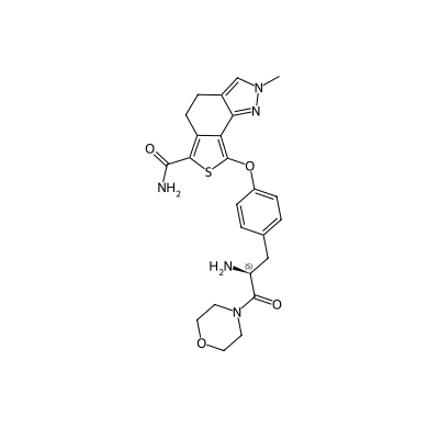 Cn1cc2c(n1)-c1c(Oc3ccc(C[C@H](N)C(=O)N4CCOCC4)cc3)sc(C(N)=O)c1CC2